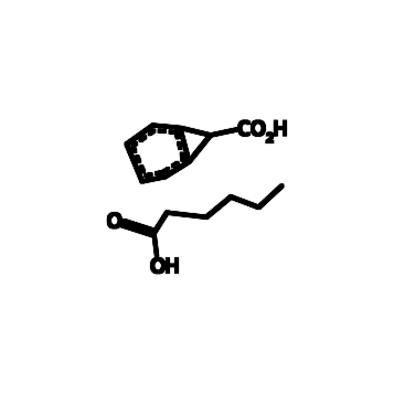 CCCCCC(=O)O.O=C(O)C1c2ccccc21